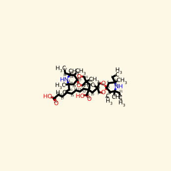 CCC1(C)CC2(OCC(C)(CC(CCCCCCCC(=O)O)(CC3(C)COC4(CC(C)(CC)NC(C)(CC)C4C)OC3)C(=O)O)CO2)C(C)C(C)(CC)N1